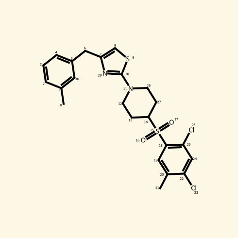 Cc1cccc(Cc2csc(N3CCC(S(=O)(=O)c4cc(C)c(Cl)cc4Cl)CC3)n2)c1